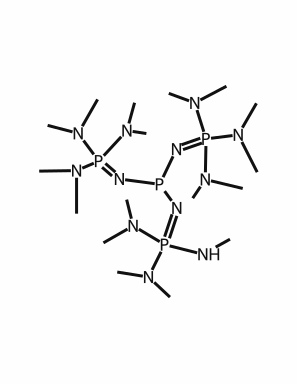 CNP(=NP(N=P(N(C)C)(N(C)C)N(C)C)N=P(N(C)C)(N(C)C)N(C)C)(N(C)C)N(C)C